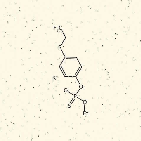 CCOP([O-])(=S)Oc1ccc(SCC(F)(F)F)cc1.[K+]